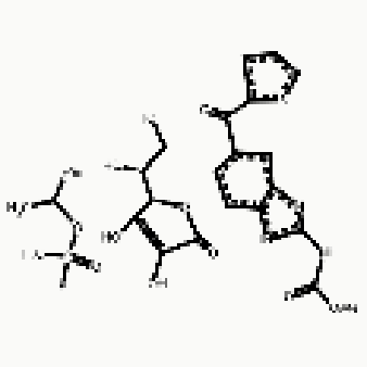 CC(OP(C)(=O)F)C(C)(C)C.COC(=O)Nc1nc2cc(C(=O)c3cccs3)ccc2[nH]1.O=C1O[C@H]([C@@H](O)CO)C(O)=C1O